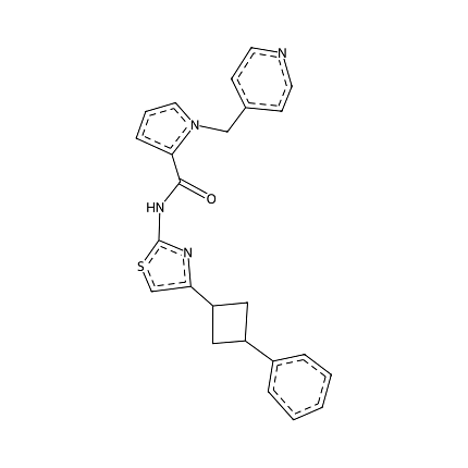 O=C(Nc1nc(C2CC(c3ccccc3)C2)cs1)c1cccn1Cc1ccncc1